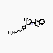 N=C/C(=C\NC1CN(CCCN)C1)c1cnc2ccccc2n1